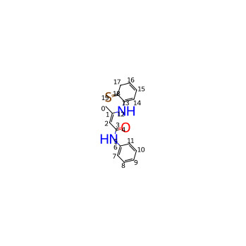 CC(=CC(=O)Nc1ccccc1)NC1=CC=CCC1=S